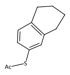 CC(=O)Sc1ccc2c(c1)CCCC2